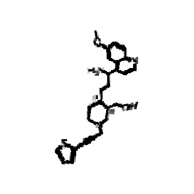 COc1ccc2nccc(C(N)CC[C@@H]3CCN(CC#Cc4cccs4)C[C@@H]3CO)c2c1